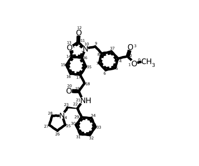 COC(=O)c1cccc(Cn2c(=O)oc3ccc(CC(=O)N[C@H](CN4CCCC4)c4ccccc4)cc32)c1